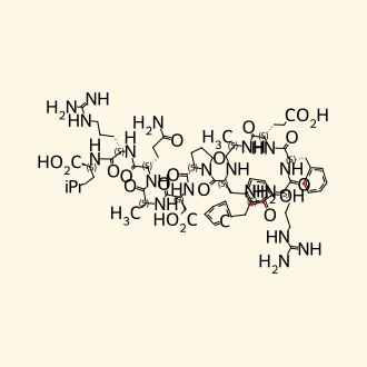 CC(C)C[C@H](NC(=O)[C@H](CCCNC(=N)N)NC(=O)[C@H](CCC(N)=O)NC(=O)[C@H](C)NC(=O)[C@H](CC(=O)O)NC(=O)[C@@H]1CCCN1C(=O)[C@H](Cc1ccc(O)cc1)NC(=O)[C@H](C)NC(=O)[C@H](CCC(=O)O)NC(=O)[C@H](Cc1ccccc1)NC(=O)[C@H](CCCNC(=N)N)NC(=O)[C@@H](N)Cc1ccccc1)C(=O)O